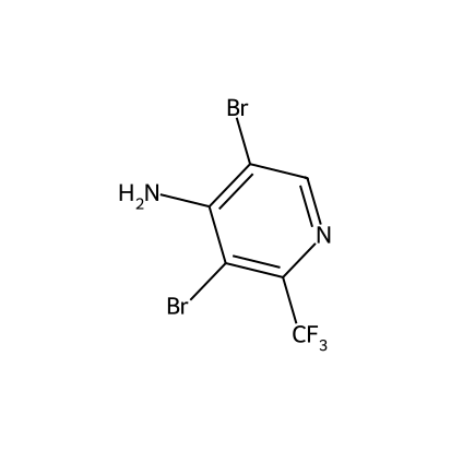 Nc1c(Br)cnc(C(F)(F)F)c1Br